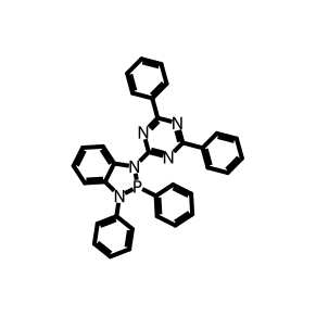 c1ccc(-c2nc(-c3ccccc3)nc(N3c4ccccc4N(c4ccccc4)P3c3ccccc3)n2)cc1